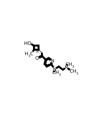 CC1C(O)C[C@@H]1CC(=O)c1ccc(N(C)CCN(C)C)nc1